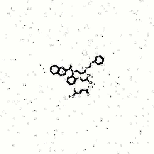 CC(C)COc1ccccc1N(CCCNCCc1ccccc1)C(=O)c1ccc2c(c1)CCCC2.O=C(O)C=CC(=O)O